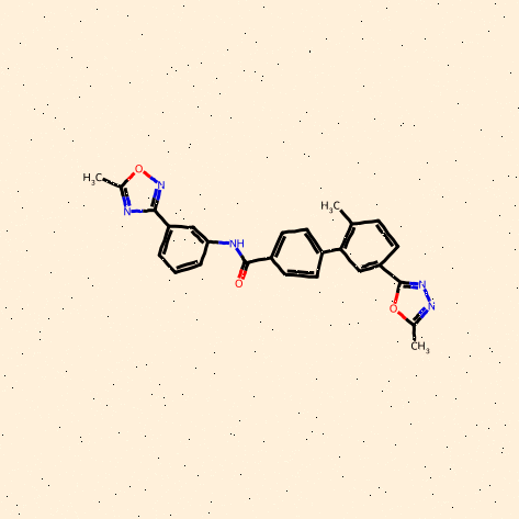 Cc1nc(-c2cccc(NC(=O)c3ccc(-c4cc(-c5nnc(C)o5)ccc4C)cc3)c2)no1